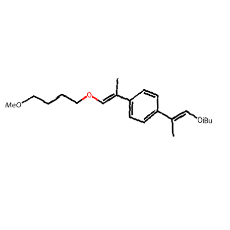 COCCCCOC=C(C)c1ccc(C(C)=COCC(C)C)cc1